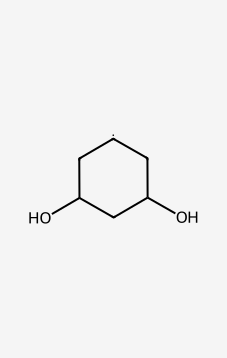 OC1C[CH]CC(O)C1